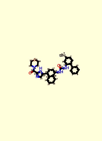 CC(C)(C)c1ccc(-c2ccccc2)c(NC(=O)Nc2ccc(-c3cnc(C(=O)N4CCSCC4)[nH]3)c3ccccc23)c1